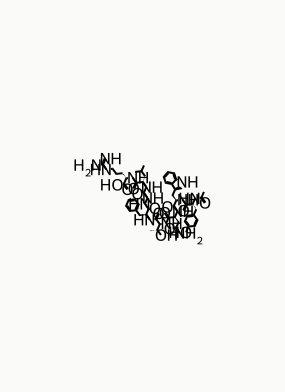 CC(=O)N[C@H](Cc1ccc(O)cc1)C(=O)N[C@H](Cc1c[nH]c2ccccc12)C(=O)N[C@@H](CC(N)=O)C(=O)N[C@H](C(=O)N[C@@H](Cc1ccccc1)C(=O)NNC(=O)N[C@@H](CC(C)C)C(=O)N[C@@H](CCCNC(=N)N)C(=O)O)[C@@H](C)O